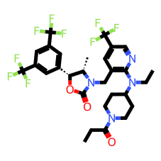 CCC(=O)N1CCC(N(CC)c2ncc(C(F)(F)F)cc2CN2C(=O)O[C@H](c3cc(C(F)(F)F)cc(C(F)(F)F)c3)[C@@H]2C)CC1